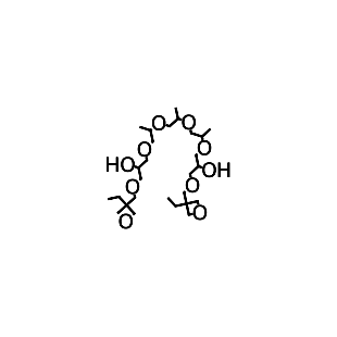 CCC1(COCC(O)COCC(C)OCC(C)OCC(C)OCC(O)COCC2(CC)COC2)COC1